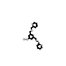 O=Cc1cc(CSCc2ccccn2)cc(CSSc2ccccn2)c1